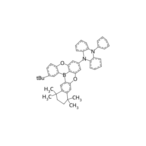 CC(C)(C)c1ccc2c(c1)B1c3cc4c(cc3Oc3cc(N5c6ccccc6N(c6ccccc6)c6ccccc65)cc(c31)O2)C(C)(C)CCC4(C)C